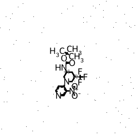 CC(C)(C)OC(=O)N[C@H]1C[C@@H](C(F)(F)F)CN(c2ccncc2[N+](=O)[O-])C1